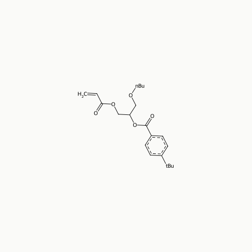 C=CC(=O)OCC(COCCCC)OC(=O)c1ccc(C(C)(C)C)cc1